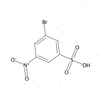 O=[N+]([O-])c1cc(Br)cc(S(=O)(=O)O)c1